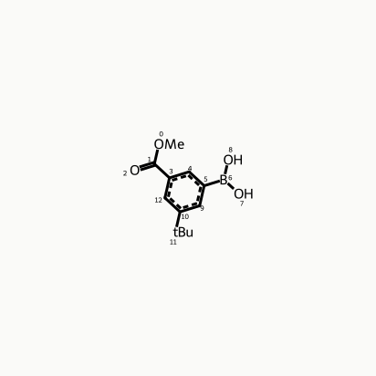 COC(=O)c1cc(B(O)O)cc(C(C)(C)C)c1